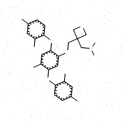 Cc1ccc(Nc2cc(OCC3(CN(C)C)COC3)c(Nc3ccc(F)cc3Cl)cc2F)c(Cl)c1